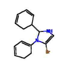 BrC1=CNC(C2C=CC=CC2)N1C1=CC=CCC1